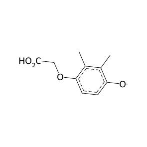 Cc1c([O])ccc(OCC(=O)O)c1C